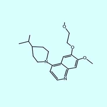 COCCOc1cc2c(N3CCC(C(C)C)CC3)ccnc2cc1OC